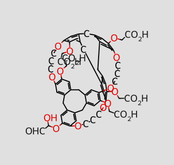 O=CC(O)Oc1cc2c3cc1OCCCOc1cc4c(cc1OCC(=O)O)Cc1cc5c(OCC(=O)O)cc1Cc1cc(c(OCC(=O)O)cc1C4)OCCCOc1cc(c(cc1OCC(=O)O)Cc1cc(c(OCC(=O)O)cc1C3)OCCCO5)C2